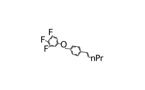 CCC/C=C/c1ccc(COc2cc(F)c(F)c(F)c2)cc1